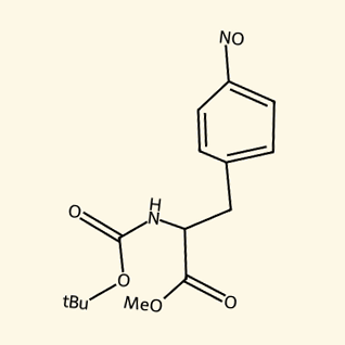 COC(=O)C(Cc1ccc(N=O)cc1)NC(=O)OC(C)(C)C